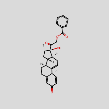 C[C@H]1C[C@H]2[C@@H]3CCC4=CC(=O)C=C[C@]4(C)C3=CC[C@]2(C)[C@@]1(O)C(=O)COC(=O)c1ccccc1